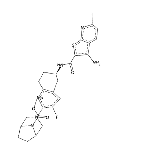 Cc1ccc2c(N)c(C(=O)N[C@@H]3CCc4cc(N5CC6CCC(C5)N6C(=O)OC(C)(C)C)c(F)cc4C3)sc2n1